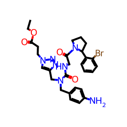 CCOC(=O)CCn1cc(CN(Cc2ccc(N)cc2)C(=O)NCC(=O)N2CCCC2c2ccccc2Br)nn1